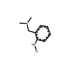 CN(C)Cc1ccccc1PCl